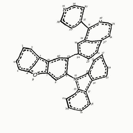 c1ccc2c(c1)oc1cc(-n3c4ccccc4c4ccccc43)c(-c3ccc4ccnc(-c5ccncc5)c4c3)cc12